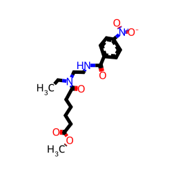 CCN(CCNC(=O)c1ccc([N+](=O)[O-])cc1)C(=O)CCCCC(=O)OC